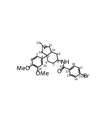 COc1ccc(C23CCC(NC(=O)c4ccc(Br)cc4)CC2CN(C)C3)cc1OC